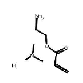 C=CC(=O)OCCN.CN(C)C.I